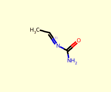 C/C=N/C(N)=O